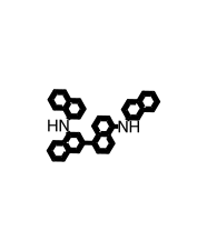 c1ccc2cc(Nc3cccc4c(-c5cc(Nc6cccc7ccccc67)c6ccccc6c5)cccc34)ccc2c1